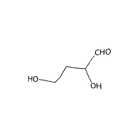 O=CC(O)CCO